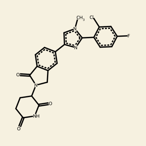 Cn1cc(-c2ccc3c(c2)CN(C2CCC(=O)NC2=O)C3=O)nc1-c1ccc(F)cc1Cl